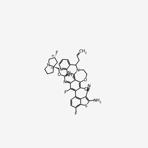 C=CCC(c1cccnc1N)N1CCOc2c(Cl)c(-c3ccc(F)c4sc(N)c(C#N)c34)c(F)c3nc(OC[C@@]45CCCN4C[C@H](F)C5)nc1c23